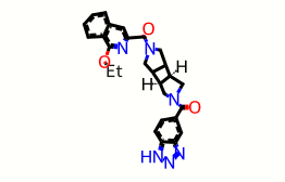 CCOc1nc(C(=O)N2CC3C(C2)[C@@H]2CN(C(=O)c4ccc5[nH]nnc5c4)C[C@H]32)cc2ccccc12